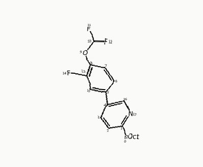 CCCCCCCCc1ccc(-c2ccc(OC(F)F)c(F)c2)cn1